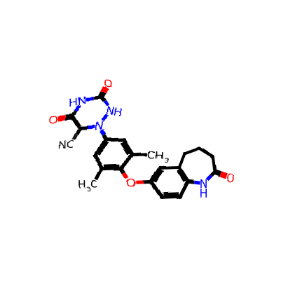 Cc1cc(N2NC(=O)NC(=O)C2C#N)cc(C)c1Oc1ccc2c(c1)CCCC(=O)N2